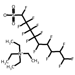 CC[N+](CC)(CC)CC.O=S(=O)([O-])C(F)C(F)(F)C(F)(F)C(F)(F)C(F)C(F)C(F)C(F)C(F)F